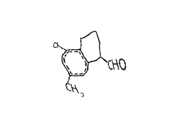 Cc1cc(Cl)c2c(c1)C(C=O)CCC2